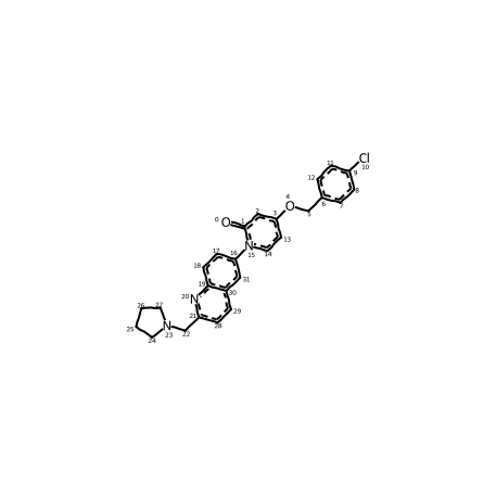 O=c1cc(OCc2ccc(Cl)cc2)ccn1-c1ccc2nc(CN3CCCC3)ccc2c1